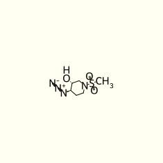 CS(=O)(=O)N1CC[C@@H](N=[N+]=[N-])[C@H](O)C1